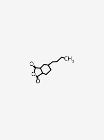 CCCCC1CCC2C(=O)OC(=O)C2C1